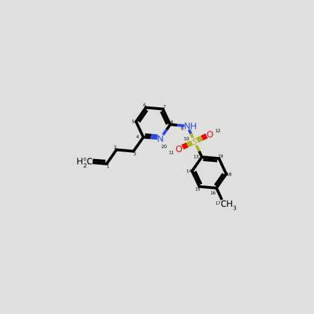 C=CCCc1cccc(NS(=O)(=O)c2ccc(C)cc2)n1